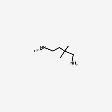 [CH2]CCNCCC(C)(C)CN